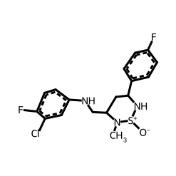 CN1C(CNc2ccc(F)c(Cl)c2)CC(c2ccc(F)cc2)N[S+]1[O-]